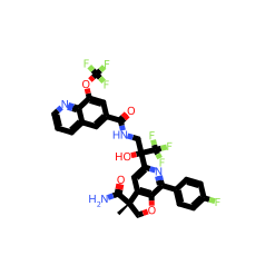 C[C@]1(C(N)=O)COc2c1cc(C(O)(CNC(=O)c1cc(OC(F)(F)F)c3ncccc3c1)C(F)(F)F)nc2-c1ccc(F)cc1